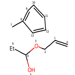 C=CCOC(O)CC.Cc1ccccc1